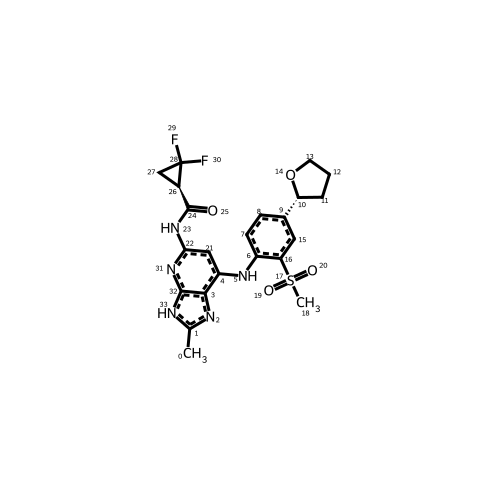 Cc1nc2c(Nc3ccc([C@H]4CCCO4)cc3S(C)(=O)=O)cc(NC(=O)[C@H]3CC3(F)F)nc2[nH]1